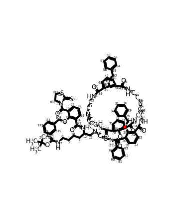 CC(C)(C)OC(=O)NCCCCC(CN1CCNC(=O)c2cccc(c2OCc2ccccc2)C(=O)NCCN2CCNC(=O)c3cccc(c3OCc3ccccc3)C(=O)NCCN(CCNC(=O)c3cccc(c3OCc3ccccc3)C(=O)NCC2)CC1)NC(=O)c1cccc(C(=O)N2CCSC2=S)c1OCc1ccccc1